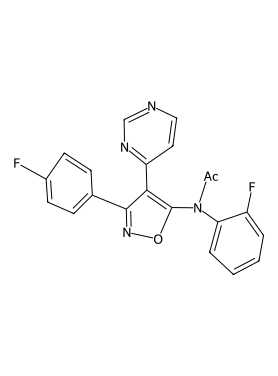 CC(=O)N(c1ccccc1F)c1onc(-c2ccc(F)cc2)c1-c1ccncn1